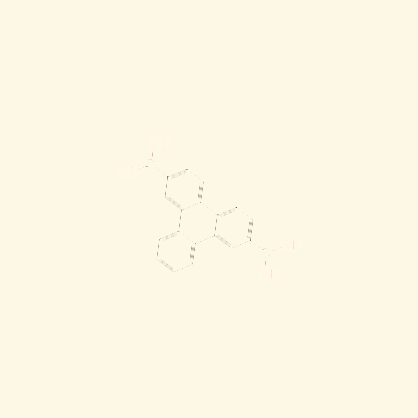 OB(O)c1ccc2c3ccc(B(O)O)cc3c3ccccc3c2c1